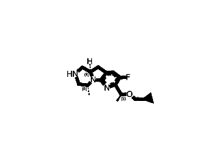 C[C@H](OCC1CC1)c1nc2c(cc1F)C[C@@H]1CNC[C@@H](C)N21